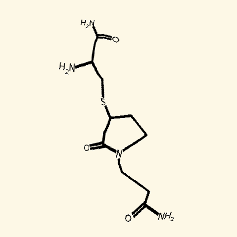 NC(=O)CCN1CCC(SCC(N)C(N)=O)C1=O